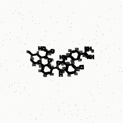 CCCCC(Oc1c(CNc2ccc(Cl)cc2C(=O)Nc2ccc(C(=N)N)cc2)cccc1OCC)C(=O)O